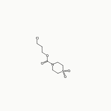 O=C(OCCCCl)N1CCS(=O)(=O)CC1